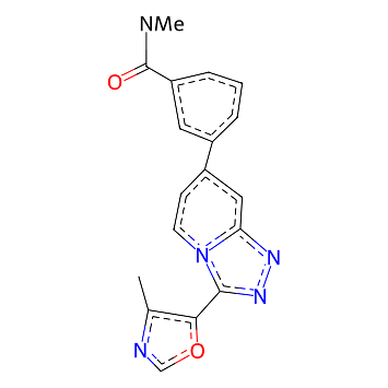 CNC(=O)c1cccc(-c2ccn3c(-c4ocnc4C)nnc3c2)c1